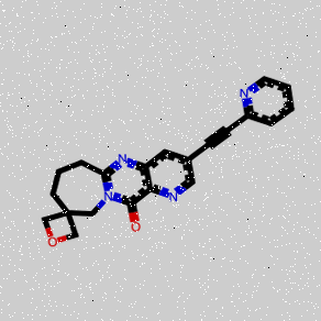 O=c1c2ncc(C#Cc3ccccn3)cc2nc2n1CC1(CCC2)COC1